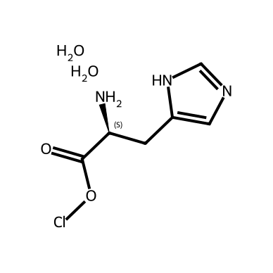 N[C@@H](Cc1cnc[nH]1)C(=O)OCl.O.O